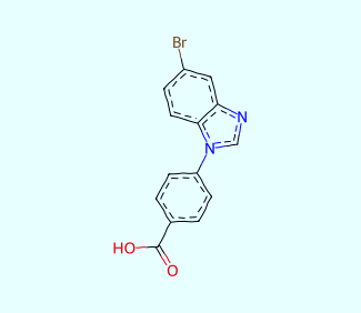 O=C(O)c1ccc(-n2cnc3cc(Br)ccc32)cc1